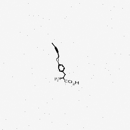 CC#CCOc1ccc(CC(N)C(=O)O)cc1